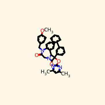 COc1ccc(CN2C(=O)CN3C(=O)C(Oc4nc(C)cc(C)n4)(c4cccc(-c5ccccc5)c4)C3c3ccccc32)cc1